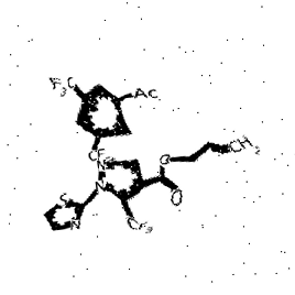 C=CCOC(=O)c1cnn(-c2nccs2)c1C(F)(F)F.CC(=O)c1cc(C(F)(F)F)cc(C(F)(F)F)c1